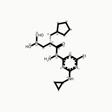 CCc1nc(NC2CC2)nc(N(N)C(=O)[C@@H](CC2CCCC2)CN(O)C=O)n1